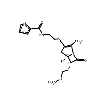 O=C(O)C1=C(SCCNC(=O)c2cccs2)C[C@@H]2[C@@H](CCOS(=O)(=O)O)C(=O)N12